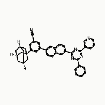 N#Cc1cc(-c2ccc3cc(-c4nc(-c5ccccc5)nc(-c5cccnc5)n4)ccc3c2)cc(C23C[C@H]4C[C@@H](C2)C[C@@H](C3)C4)c1